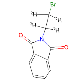 [2H]C([2H])(Br)C([2H])([2H])N1C(=O)c2ccccc2C1=O